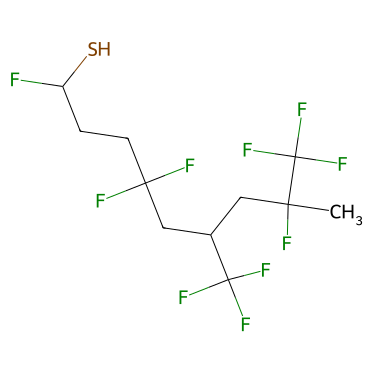 CC(F)(CC(CC(F)(F)CCC(F)S)C(F)(F)F)C(F)(F)F